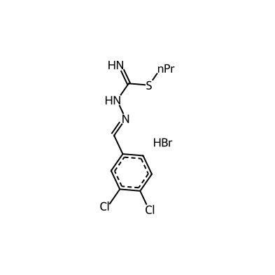 Br.CCCSC(=N)NN=Cc1ccc(Cl)c(Cl)c1